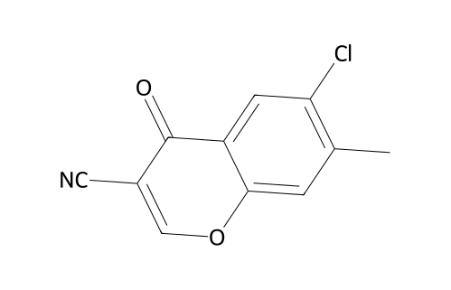 Cc1cc2occ(C#N)c(=O)c2cc1Cl